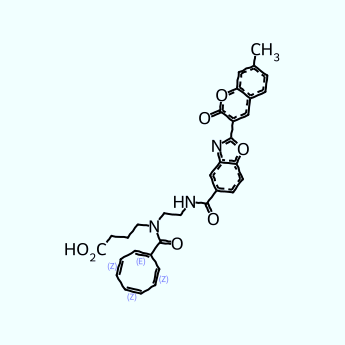 Cc1ccc2cc(-c3nc4cc(C(=O)NCCN(CCCC(=O)O)C(=O)C5=C/C=C\C=C/C=C\5)ccc4o3)c(=O)oc2c1